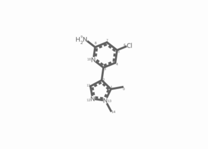 Cc1c(-c2cc(Cl)cc(N)n2)cnn1C